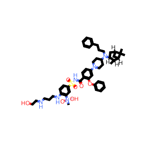 C[C@@H]1[C@@H](N(CCCc2ccccc2)C2CCN(c3ccc(C(=O)NS(=O)(=O)c4ccc(NCCCNCCO)c([N+](C)([O-])O)c4)c(Oc4ccccc4)c3)CC2)C[C@H]2C[C@@H]1C2(C)C